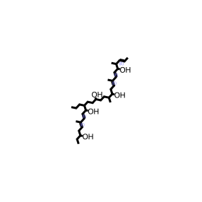 C/C=C/C(C)C(O)/C=C/C(C)=C/CC(O)C(C)CCC(O)CCC(CCC)C(O)/C=C/C(C)=C/CC(O)CC